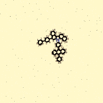 c1ccc(-c2ccc(-c3cc4c(c5ccccc35)c3ccc5ccccc5c3n4-c3ccc(-c4c5ccccc5c(-c5ccccc5)c5ccccc45)cc3)cc2)cc1